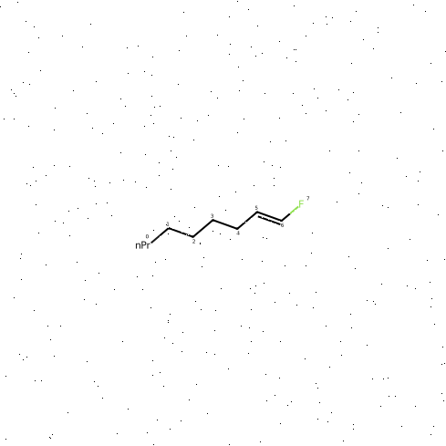 CCCCCCCC=CF